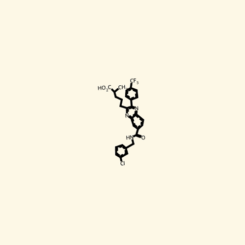 CC(CCCc1nc2cc(C(=O)NCc3cccc(Cl)c3)ccc2nc1-c1ccc(C(F)(F)F)cc1)C(=O)O